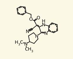 CN(C)C1CCN(C2=Nc3ccccc3N/C2=C(/C#N)C(=O)OCc2ccccc2)CC1